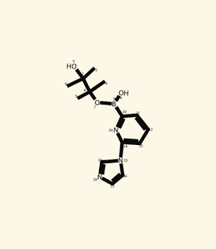 CC(C)(O)C(C)(C)OB(O)c1cccc(-n2ccnc2)n1